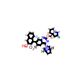 O=[N+]([O-])c1cc2c(N3C[C@H]4CC[C@@H](C3)N4)nc(OC[C@@]34CCCN3C[C@H](F)C4)nc2c(F)c1-c1cc(O)cc2ccccc12